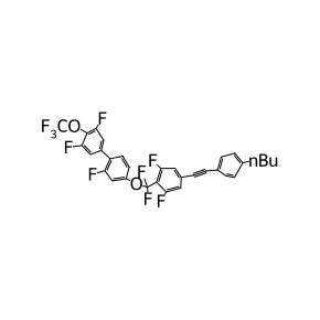 CCCCc1ccc(C#Cc2cc(F)c(C(F)(F)Oc3ccc(-c4cc(F)c(OC(F)(F)F)c(F)c4)c(F)c3)c(F)c2)cc1